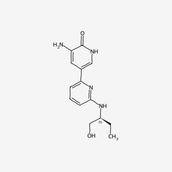 CC[C@@H](CO)Nc1cccc(-c2c[nH]c(=O)c(N)c2)n1